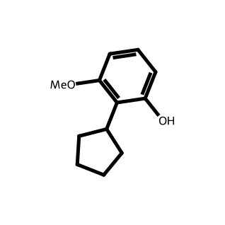 COc1cccc(O)c1C1CCCC1